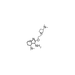 CN(C)c1cccn2nc(OCCN3CCC(N(C)C)C3)c(N)c12